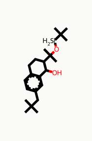 CC(C)(C)Cc1ccc2c(c1)C(O)C(C(C)(C)O[SiH2]C(C)(C)C)CC2